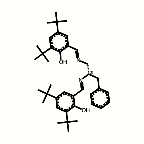 CC(C)(C)c1cc(C=NC[C@H](Cc2ccccc2)N=Cc2cc(C(C)(C)C)cc(C(C)(C)C)c2O)c(O)c(C(C)(C)C)c1